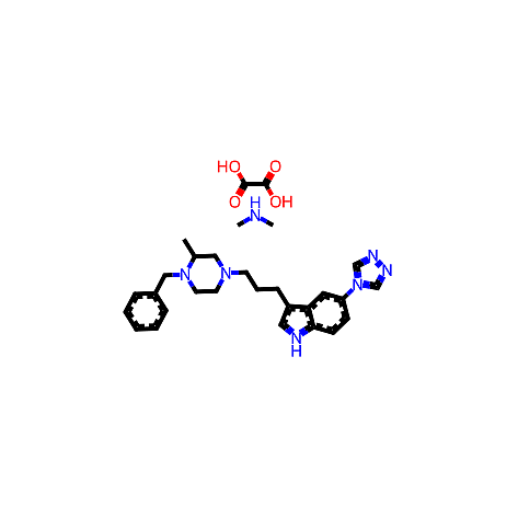 CC1CN(CCCc2c[nH]c3ccc(-n4cnnc4)cc23)CCN1Cc1ccccc1.CNC.O=C(O)C(=O)O